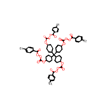 CCc1ccc(C(=O)OOC(=O)OC2CCC(C(C3CCC(OC(=O)OOC(=O)c4ccc(CC)cc4)CC3)(C3CCC(OC(=O)OOC(=O)c4ccc(CC)cc4)CC3)C3CCC(OC(=O)OOC(=O)c4ccc(CC)cc4)CC3)CC2)cc1